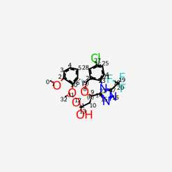 COc1cccc([C@H]2O[C@H](CC(=O)O)c3nnc(C(F)(F)F)n3-c3ccc(Cl)cc32)c1OC